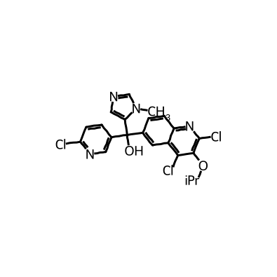 CC(C)Oc1c(Cl)nc2ccc(C(O)(c3ccc(Cl)nc3)c3cncn3C)cc2c1Cl